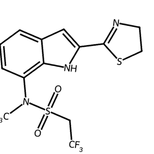 CN(c1cccc2cc(C3=NCCS3)[nH]c12)S(=O)(=O)CC(F)(F)F